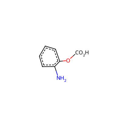 Nc1ccccc1OC(=O)O